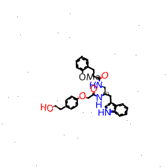 COc1ccccc1CCC(=O)NC[C@@H](Cc1c[nH]c2ccccc12)NC(=O)COc1ccc(CCO)cc1